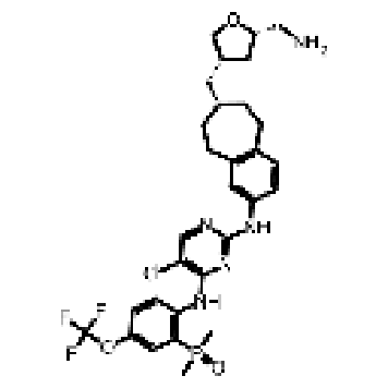 CP(C)(=O)c1cc(OC(F)(F)F)ccc1Nc1nc(Nc2ccc3c(c2)CC[C@@H](C[C@@H]2CO[C@H](CN)C2)CC3)ncc1Cl